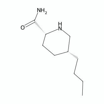 CCCC[C@@H]1CC[C@H](C(N)=O)NC1